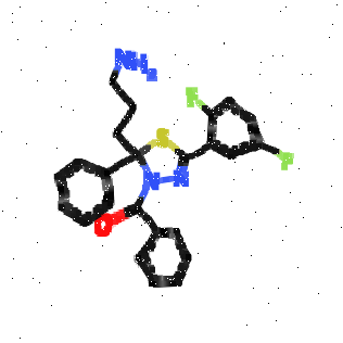 NCCCC1(c2ccccc2)SC(c2cc(F)ccc2F)=NN1C(=O)c1ccccc1